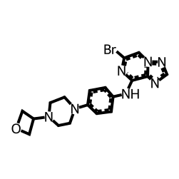 Brc1cn2ncnc2c(Nc2ccc(N3CCN(C4COC4)CC3)cc2)n1